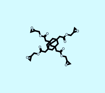 O=C(CC12CC3(CC(=O)OCC4CO4)CC(CC(=O)OCC4CO4)(C1)CC(CC(=O)OCC1CO1)(C2)C3)OCC1CO1